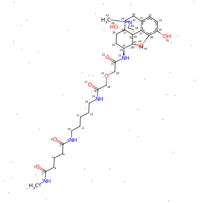 CNC(=O)CCCC(=O)NCCCCCNC(=O)COCC(=O)N[C@H]1CC[C@@]2(O)C3Cc4ccc(O)c5c4[C@@]2(CCN3C)[C@H]1O5